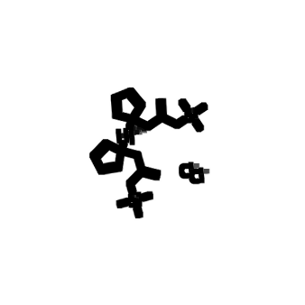 C=C(C[C]1([Hf+2][C]2(CC(=C)C[Si](C)(C)C)C=CC=C2)C=CC=C1)C[Si](C)(C)C.[Cl-].[Cl-]